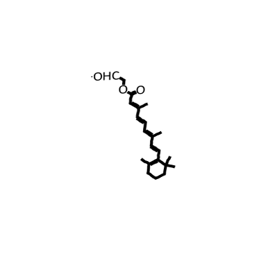 CC1=C(/C=C/C(C)=C/C=C/C(C)=C/C(=O)OC[C]=O)C(C)(C)CCC1